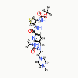 CC(C)NC(=O)N(CCN1CCN(C)CC1)Cc1ccc(C(=O)Nc2cscc2NC(=O)OC(C)(C)C)nc1